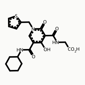 O=C(O)CNC(=O)c1c(O)c(C(=O)NC2CCCCC2)cn(Cc2cccs2)c1=O